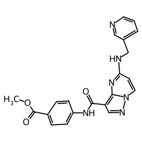 COC(=O)c1ccc(NC(=O)c2cnn3ccc(NCc4cccnc4)nc23)cc1